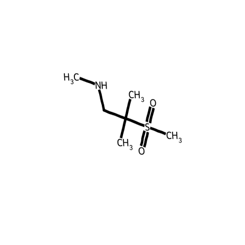 CNCC(C)(C)S(C)(=O)=O